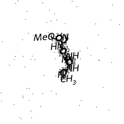 COCc1ccc2nccc(Nc3ccc(-c4nc5cc(Nc6ccnc(C)c6)ccc5[nH]4)cc3)c2c1